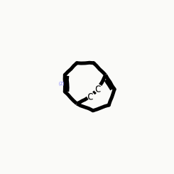 C1=C2CC/C=C\C(CC1)CC2